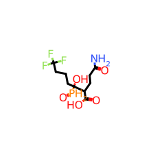 NC(=O)CCC(C(=O)O)C(O)(CCCC(F)(F)F)[PH2]=O